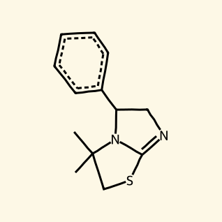 CC1(C)CSC2=NCC(c3ccccc3)N21